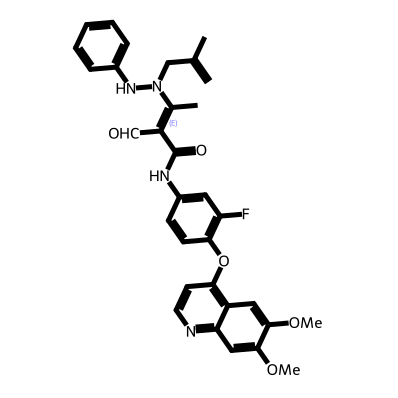 C=C(C)CN(Nc1ccccc1)/C(C)=C(\C=O)C(=O)Nc1ccc(Oc2ccnc3cc(OC)c(OC)cc23)c(F)c1